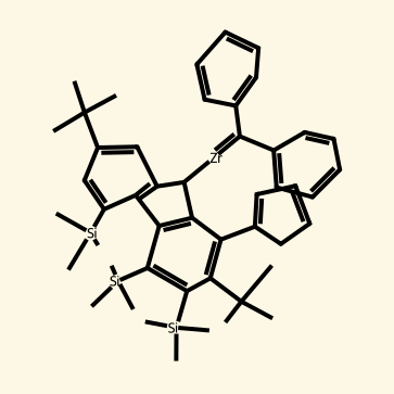 CC(C)(C)c1cc2c(c([Si](C)(C)C)c1)-c1c(c(C3=CC=CC3)c(C(C)(C)C)c([Si](C)(C)C)c1[Si](C)(C)C)[CH]2[Zr]=[C](c1ccccc1)c1ccccc1